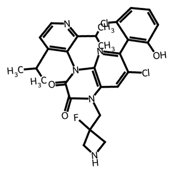 CC(C)c1ccnc(C(C)C)c1-n1c(=O)c(=O)n(CC2(F)CNC2)c2cc(Cl)c(-c3c(O)cccc3Cl)nc21